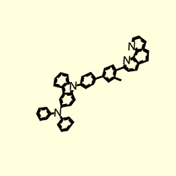 Cc1cc(-c2ccc(-n3c4ccccc4c4cc(N(c5ccccc5)c5ccccc5)ccc43)cc2)ccc1-c1ccc2ccc3cccnc3c2n1